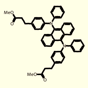 COC(=O)CCc1ccc(N(c2ccccc2)c2c3[c]cccc3c(N(c3ccccc3)c3ccc(CCC(=O)OC)cc3)c3ccccc23)cc1